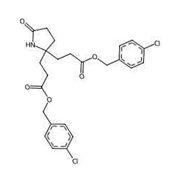 O=C1CCC(CCC(=O)OCc2ccc(Cl)cc2)(CCC(=O)OCc2ccc(Cl)cc2)N1